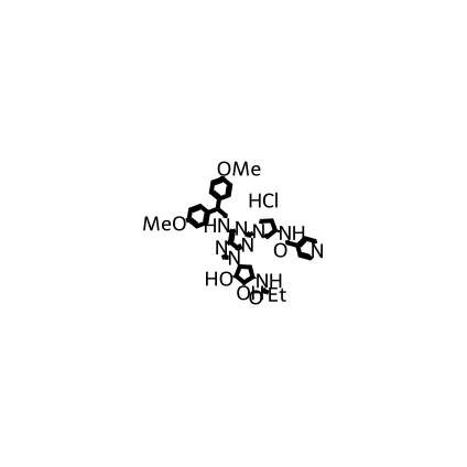 CCC(=O)N[C@H]1C[C@@H](n2cnc3c(NCC(c4ccc(OC)cc4)c4ccc(OC)cc4)nc(N4CC[C@@H](NC(=O)c5ccncc5)C4)nc32)[C@H](O)[C@@H]1O.Cl